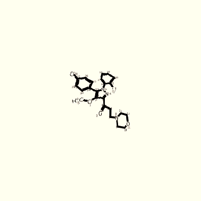 COc1c(C(=O)CCN2CCOCC2)nn(-c2ccccc2Cl)c1-c1ccc(Cl)cc1